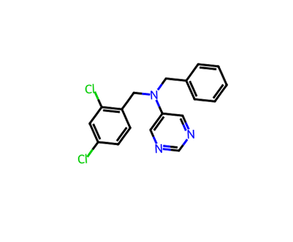 Clc1ccc(CN(Cc2ccccc2)c2cncnc2)c(Cl)c1